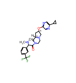 CN(C)C(C(=O)N1CCN2C[C@H](Oc3cnc(C4CC4)cn3)C[C@H]2C1)c1cccc(C(F)(F)F)c1